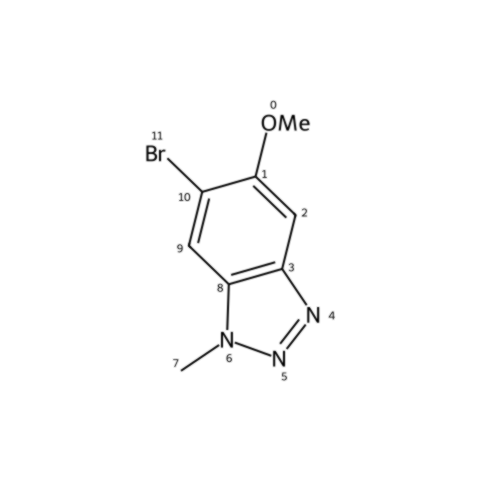 COc1cc2nnn(C)c2cc1Br